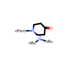 CCCCCN1CCC(=O)CC1.CCCCNCCCC